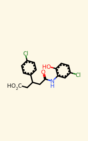 O=C(O)CC(CC(=O)Nc1cc(Cl)ccc1O)c1ccc(Cl)cc1